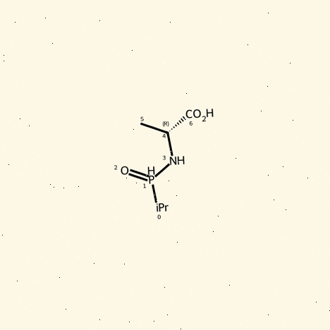 CC(C)[PH](=O)N[C@H](C)C(=O)O